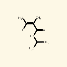 C/C(F)=C(\C)C(=O)NC(C)C